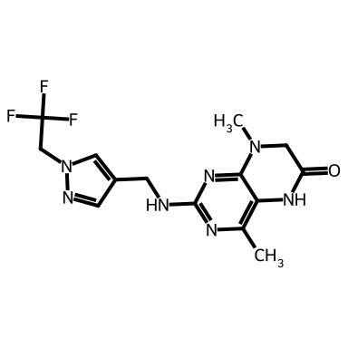 Cc1nc(NCc2cnn(CC(F)(F)F)c2)nc2c1NC(=O)CN2C